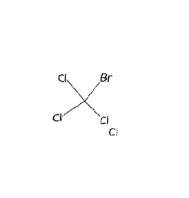 ClC(Cl)(Cl)Br.[C]